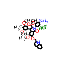 COC(=O)c1c(-c2cc(OC)c(C)c(OC)c2)c2cc(OC)c(OCc3ccc4ccccc4n3)cc2c(=O)n1-c1ccc(N)cc1.Cl.Cl